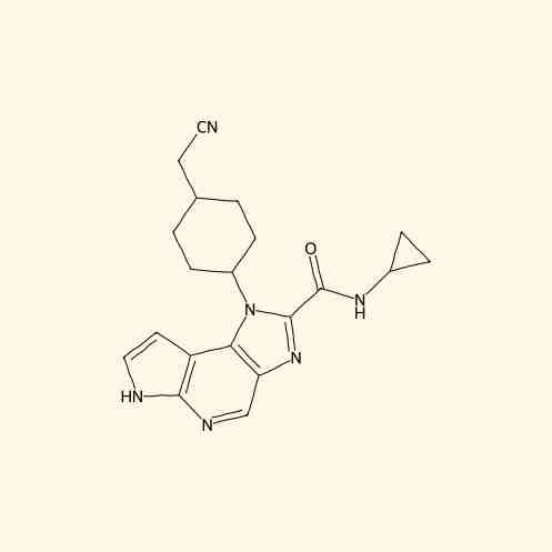 N#CCC1CCC(n2c(C(=O)NC3CC3)nc3cnc4[nH]ccc4c32)CC1